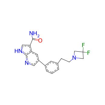 NC(=O)c1c[nH]c2ncc(-c3cccc(CCN4CC(F)(F)C4)c3)cc12